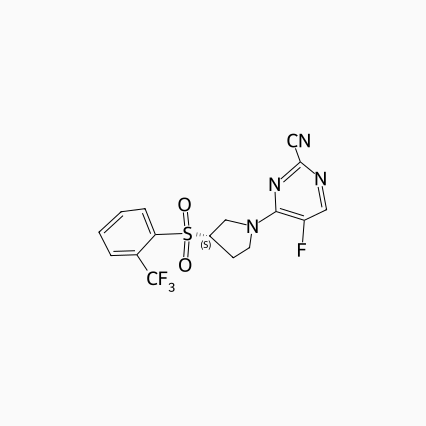 N#Cc1ncc(F)c(N2CC[C@H](S(=O)(=O)c3ccccc3C(F)(F)F)C2)n1